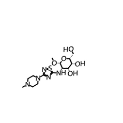 CO[C@@H]1O[C@H](CO)[C@H](O)[C@H](O)[C@@H]1Nc1nc(N2CCN(C)CC2)ns1